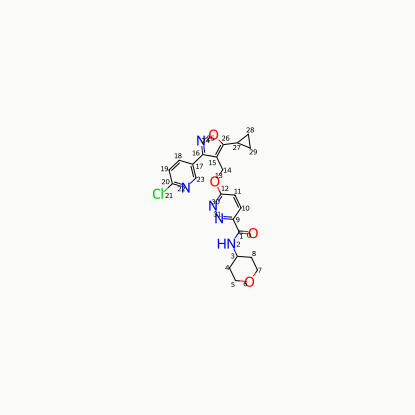 O=C(NC1CCOCC1)c1ccc(OCc2c(-c3ccc(Cl)nc3)noc2C2CC2)nn1